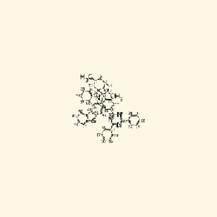 CC1CC2CC(C)C(c3ccc(-c4nc(-c5ccccc5)nc(-c5ccccc5)n4)cc3)(n3c4ccccc4c4c5c(ccc43)sc3ccccc35)C(C1)C2